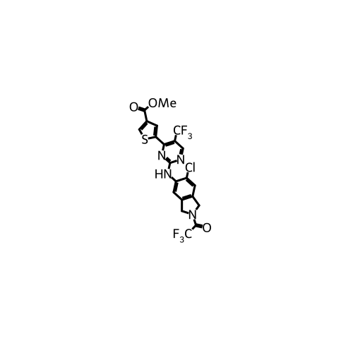 COC(=O)c1csc(-c2nc(Nc3cc4c(cc3Cl)CN(C(=O)C(F)(F)F)C4)ncc2C(F)(F)F)c1